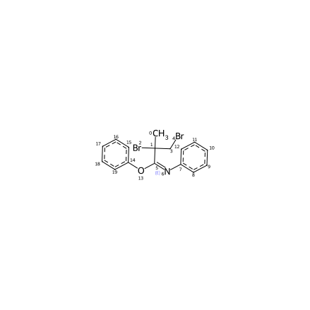 CC(Br)(CBr)/C(=N\c1ccccc1)Oc1ccccc1